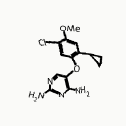 COc1cc(C2CC2)c(Oc2cnc(N)nc2N)cc1Cl